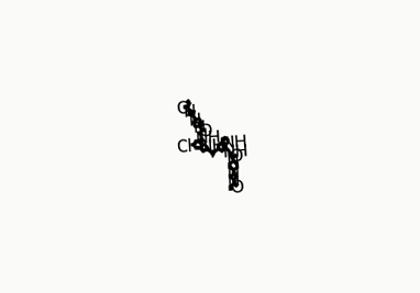 C=CC(=O)N1CC(N2CCN(C(=O)CNc3cc(C4CC4c4cc5cc(Cl)cc(NCC(=O)N6CCN(C7CN(C(=O)C=C)C7)CC6)c5[nH]4)cc4cc[nH]c34)CC2)C1